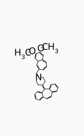 COC1=CC2=CC=CC(CN3CCC(=C4c5ccccc5C=Cc5ccccc54)CC3)=CC2C=C1OC